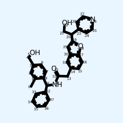 Cc1cc(CO)ccc1C(NC(=O)Cc1ccc2oc(C(CO)c3ccncc3)cc2c1)c1ccccc1